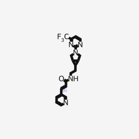 O=C(/C=C/c1cccnc1)NCCC1C2CN(c3nccc(C(F)(F)F)n3)CC12